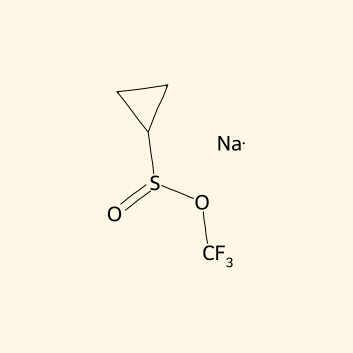 O=S(OC(F)(F)F)C1CC1.[Na]